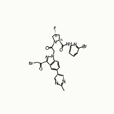 Cc1ncc(-c2ccc3c(c2)c(C(=O)CBr)nn3CC(=O)N2C[C@H](F)C[C@H]2C(=O)Nc2cccc(Br)n2)cn1